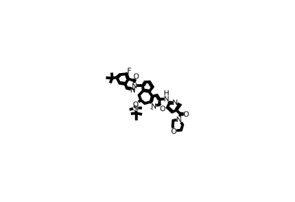 Cn1c2c(cc(Nc3ccc(C(=O)N4CCOCC4)cn3)c1=O)-c1cccc(-n3ncc4cc(C(C)(C)C)cc(F)c4c3=O)c1CC(O[Si](C)(C)C(C)(C)C)C2